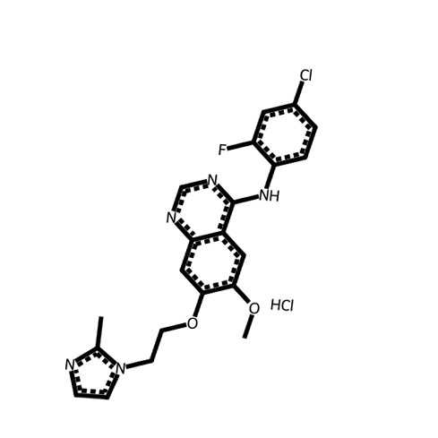 COc1cc2c(Nc3ccc(Cl)cc3F)ncnc2cc1OCCn1ccnc1C.Cl